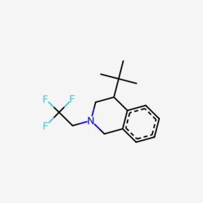 CC(C)(C)C1CN(CC(F)(F)F)Cc2ccccc21